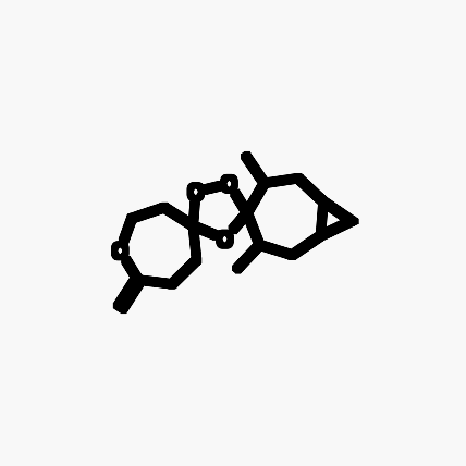 C=C1CCC2(CCO1)OOC1(O2)C(C)CC2CC2CC1C